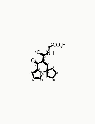 O=C(O)CNC(=O)C1=CC2(CCCC2)n2cccc2C1=O